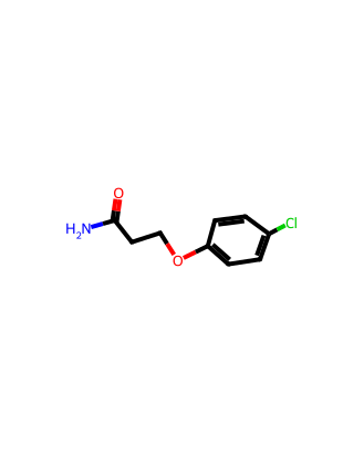 NC(=O)CCOc1ccc(Cl)cc1